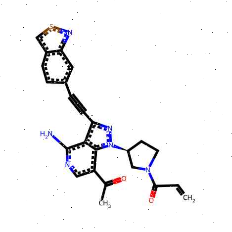 C=CC(=O)N1CC[C@H](n2nc(C#Cc3ccc4csnc4c3)c3c(N)ncc(C(C)=O)c32)C1